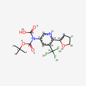 CC(C)(C)OC(=O)N(C(=O)O)c1cnc(C2=CCCO2)c(C(F)(F)F)c1